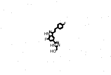 OCc1nnc(-c2cc(F)c3[nH]nc(/C=C/c4ccc(F)cc4)c3c2)[nH]1